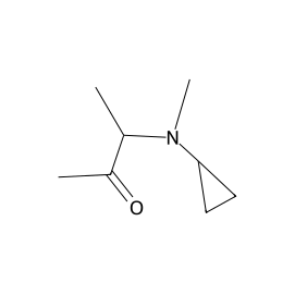 CC(=O)C(C)N(C)C1CC1